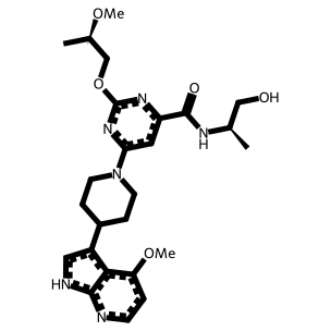 COc1ccnc2[nH]cc(C3CCN(c4cc(C(=O)N[C@H](C)CO)nc(OC[C@@H](C)OC)n4)CC3)c12